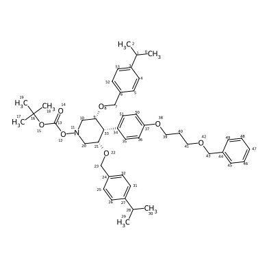 CC(C)c1ccc(CO[C@H]2CN(OC(=O)OC(C)(C)C)C[C@@H](OCc3ccc(C(C)C)cc3)[C@H]2c2ccc(OCCCOCc3ccccc3)cc2)cc1